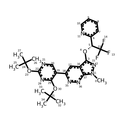 Cn1nc(O[C@H](c2ccccn2)C(F)(F)F)c2cc(-c3cnc(OC(C)(C)C)nc3OC(C)(C)C)nnc21